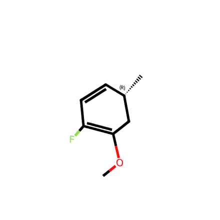 COC1=C(F)C=C[C@H](C)C1